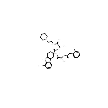 C=C(NCCN1CCCCC1)[C@@H](NC(=O)[C@@]1(NC(=O)[C@@H](NC(=O)Cc2ccccc2F)C(C)CC)CCc2[nH]c3c(C(F)(F)F)cccc3c2C1)C(C)CC